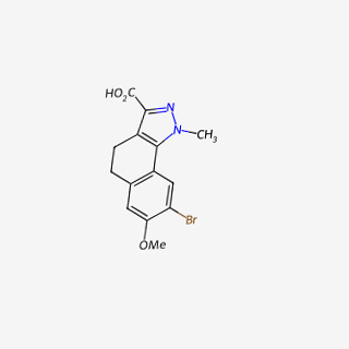 COc1cc2c(cc1Br)-c1c(c(C(=O)O)nn1C)CC2